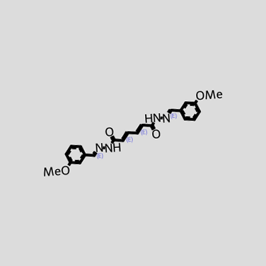 COc1cccc(/C=N/NC(=O)/C=C/C=C/C(=O)N/N=C/c2cccc(OC)c2)c1